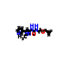 Cn1nc(NC(=O)NCCOCC2CC2)cc1-c1cccnc1